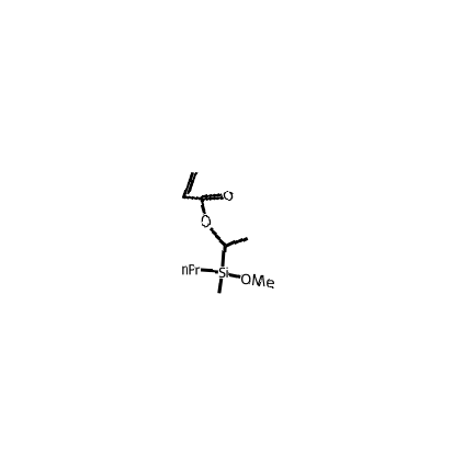 C=CC(=O)OC(C)[Si](C)(CCC)OC